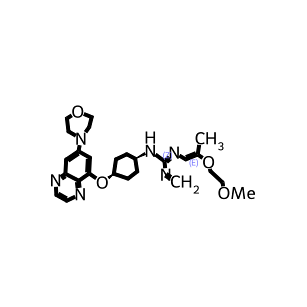 C=N/C(=N\C=C(/C)OCCOC)N[C@H]1CC[C@@H](Oc2cc(N3CCOCC3)cc3nccnc23)CC1